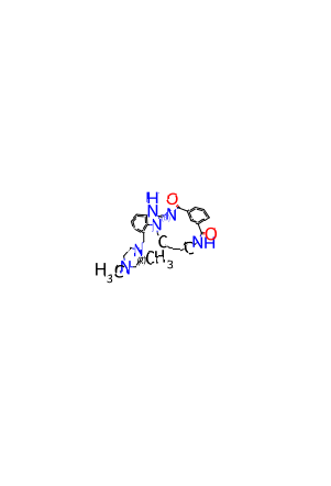 C[C@@H]1CN(C)CCN1Cc1cccc2c1N1CCCCCNC(=O)c3cccc(c3)C(=O)/N=C/1N2